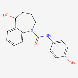 O=C(Nc1ccc(O)cc1)N1CCCC(O)c2ccccc21